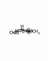 Cc1ccc(S(=O)(=O)N2CCC(CC(=O)NC3CCC(c4nc5cc(Cl)ccc5o4)CC3)C2)cc1